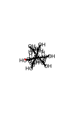 O=C(NCCN(CCNC(=O)OCCO)c1nc(N(CCNC(=O)OCCO)CCNC(=O)OCCO)nc(N(CCNC(=O)OCCO)CCNC(=O)OCCO)n1)OCCO